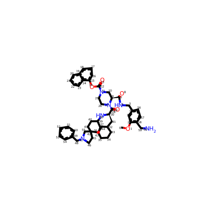 COc1cc(CNC(=O)[C@@H]2CN(C(=O)Oc3cccc4ccccc34)CCN2C(=O)[C@@H](CC2CCCCC2)NC2CCC3(CC2)CCN(Cc2ccccc2)C3)ccc1CN